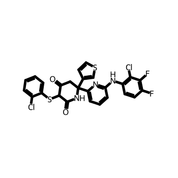 O=C1CC(c2ccsc2)(c2cccc(Nc3ccc(F)c(F)c3Cl)n2)NC(=O)C1Sc1ccccc1Cl